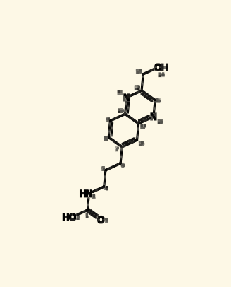 O=C(O)NCCCc1ccc2nc(CO)cnc2c1